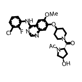 COc1cc2c(Nc3cccc(Cl)c3F)ncnc2cc1OC1CCN(C(=O)[C@@H]2C[C@@H](O)CN2C(C)=O)CC1